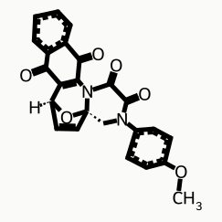 COc1ccc(N2C[C@]34C=C[C@H](O3)C3=C(C(=O)c5ccccc5C3=O)N4C(=O)C2=O)cc1